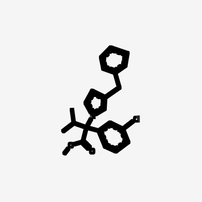 COC(=O)C(c1cccc(Cl)c1)(C(C)C)n1ccc(Cc2ccccc2)c1